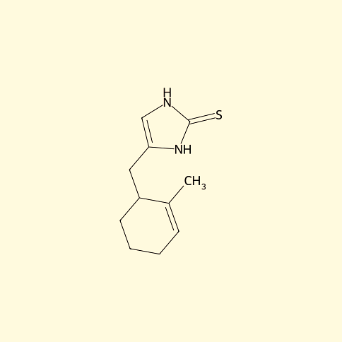 CC1=CCCCC1Cc1c[nH]c(=S)[nH]1